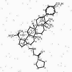 C=C(C)[C@@H]1CC[C@]2(CNCC(=O)N3CCCC3)CC[C@]3(C)[C@H](CC[C@@H]4[C@@]5(C)CC=C(c6ccc(C(=O)O)cc6)C(C)(C)[C@@H]5CC[C@]43C)[C@@H]12